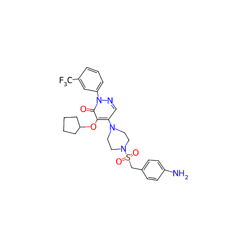 Nc1ccc(CS(=O)(=O)N2CCN(c3cnn(-c4cccc(C(F)(F)F)c4)c(=O)c3OC3CCCC3)CC2)cc1